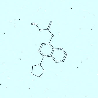 CCCCOC(=O)Oc1ccc([S+]2CCCC2)c2ccccc12